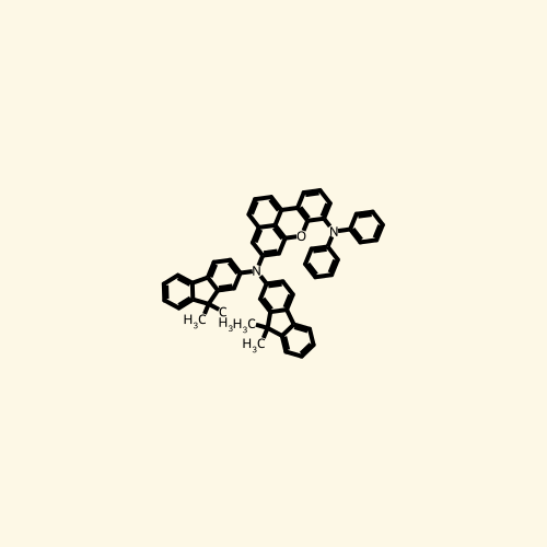 CC1(C)c2ccccc2-c2ccc(N(c3ccc4c(c3)C(C)(C)c3ccccc3-4)c3cc4c5c(cccc5c3)-c3cccc(N(c5ccccc5)c5ccccc5)c3O4)cc21